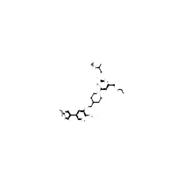 CCNC(=O)c1cc(N2CCC(COc3cc(-c4cnn(C)c4)cnc3N)CC2)nc(OCC(C)N=O)n1